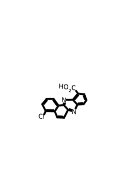 O=C(O)c1cccc2nc3ccc4c(Cl)cccc4c3nc12